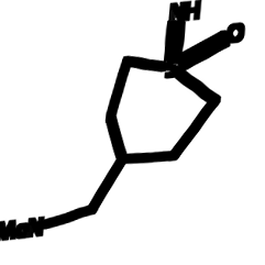 CNCC1CCS(=N)(=O)CC1